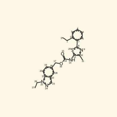 CCc1ccccc1-c1nc(C)c(NC(=O)OCc2ccc3c(cnn3CC)c2)s1